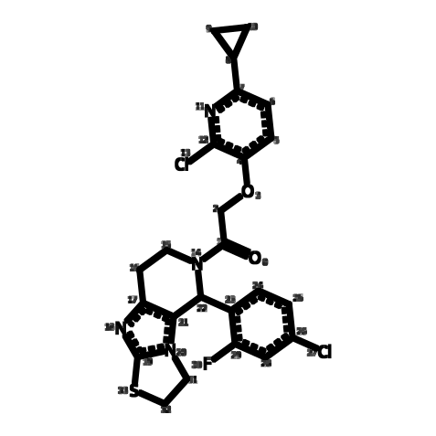 O=C(COc1ccc(C2CC2)nc1Cl)N1CCc2nc3n(c2C1c1ccc(Cl)cc1F)CCS3